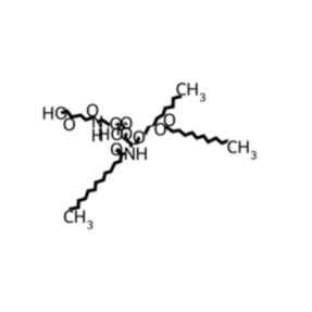 CCCCCCCCCCCCCC(=O)N[C@H](COCC[C@@H](CCCCCCC)OC(=O)CCCCCCCCCCC)COP(=O)(O)OCCNC(=O)CCC(=O)CO